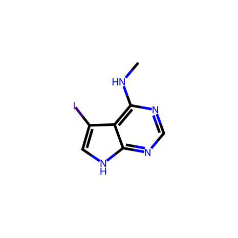 CNc1ncnc2[nH]cc(I)c12